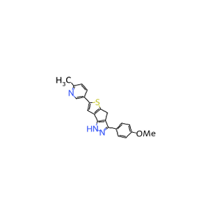 COc1ccc(-c2n[nH]c3c2Cc2sc(-c4ccc(C)nc4)cc2-3)cc1